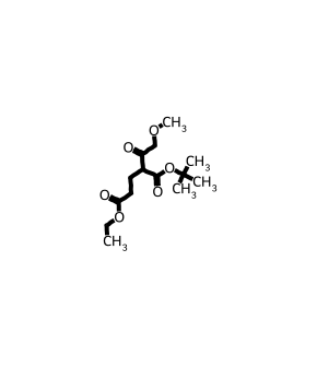 CCOC(=O)CCC(C(=O)COC)C(=O)OC(C)(C)C